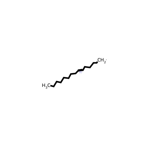 [CH2]CCCC/C=C/CCCCCCCC